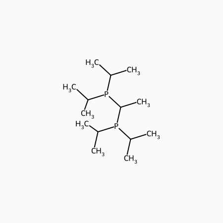 CC(C)P(C(C)C)C(C)P(C(C)C)C(C)C